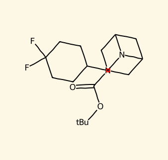 CC(C)(C)OC(=O)N1CC2CC(C1)N2CC1CCC(F)(F)CC1